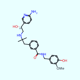 COc1cc(CNC(=O)c2cccc(CC(C)(C)NC[C@H](O)c3ccc(N)nc3)c2)ccc1O